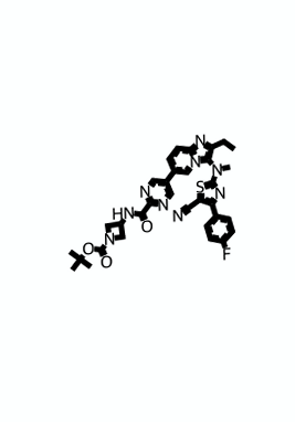 CCc1nc2ccc(-c3cnc(C(=O)NC4CN(C(=O)OC(C)(C)C)C4)nc3)cn2c1N(C)c1nc(-c2ccc(F)cc2)c(C#N)s1